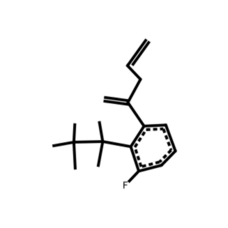 C=CCC(=C)c1cccc(F)c1C(C)(C)C(C)(C)C